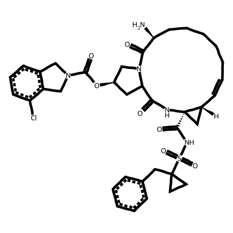 N[C@H]1CCCCC/C=C\[C@@H]2C[C@@]2(C(=O)NS(=O)(=O)C2(Cc3ccccc3)CC2)NC(=O)C2C[C@@H](OC(=O)N3Cc4cccc(Cl)c4C3)CN2C1=O